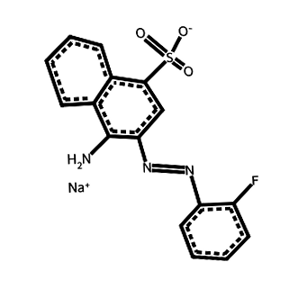 Nc1c(N=Nc2ccccc2F)cc(S(=O)(=O)[O-])c2ccccc12.[Na+]